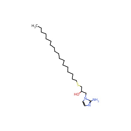 CCCCCCCCCCCCCCCCCCSCC(O)Cn1ccnc1N